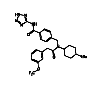 CC(C)(C)C1CCC(N(Cc2ccc(C(=O)Nc3nn[nH]n3)cc2)C(=O)Cc2cccc(OC(F)(F)F)c2)CC1